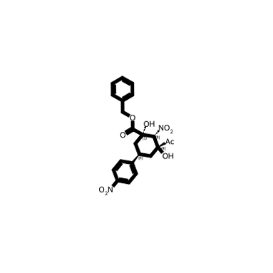 CC(=O)[C@@]1(O)C[C@@H](c2ccc([N+](=O)[O-])cc2)C[C@@](O)(C(=O)OCc2ccccc2)[C@@H]1[N+](=O)[O-]